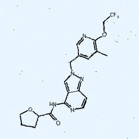 Cc1cc(Cn2cc3c(NC(=O)C4CCCO4)nccc3n2)cnc1OCC(F)(F)F